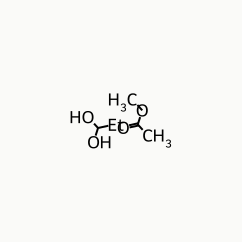 CCC(O)O.COC(C)=O